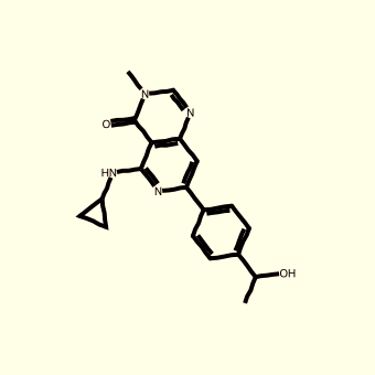 CC(O)c1ccc(-c2cc3ncn(C)c(=O)c3c(NC3CC3)n2)cc1